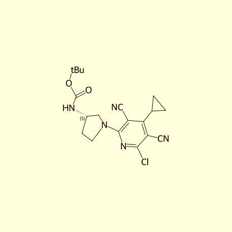 CC(C)(C)OC(=O)N[C@H]1CCN(c2nc(Cl)c(C#N)c(C3CC3)c2C#N)C1